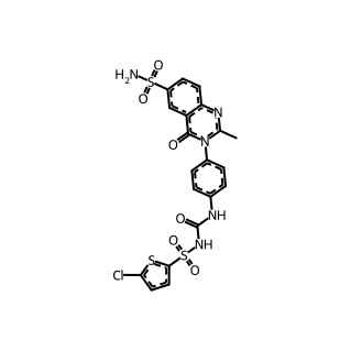 Cc1nc2ccc(S(N)(=O)=O)cc2c(=O)n1-c1ccc(NC(=O)NS(=O)(=O)c2ccc(Cl)s2)cc1